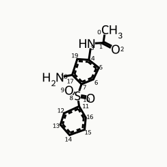 CC(=O)Nc1ccc(S(=O)(=O)c2ccccc2)c(N)c1